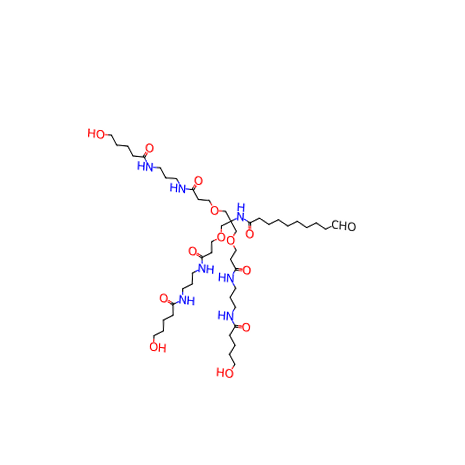 O=CCCCCCCCCC(=O)NC(COCCC(=O)NCCCNC(=O)CCCCO)(COCCC(=O)NCCCNC(=O)CCCCO)COCCC(=O)NCCCNC(=O)CCCCO